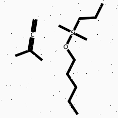 C=C=C(C)C.CCCCCO[Si](C)(C)CCC